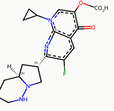 O=C(O)Oc1cn(C2CC2)c2nc([C@H]3C[C@@H]4CCCNN4C3)c(F)cc2c1=O